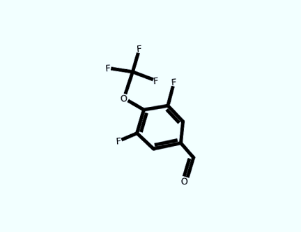 O=Cc1cc(F)c(OC(F)(F)F)c(F)c1